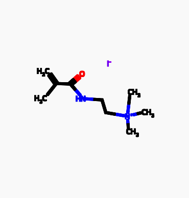 C=C(C)C(=O)NCC[N+](C)(C)C.[I-]